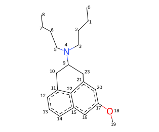 CCCCN(CCCC)C1Cc2cccc3cc(OC)cc(c23)C1